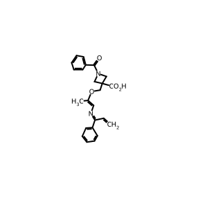 C=C/C(=N\C=C(/C)OCC1(C(=O)O)CN(C(=O)c2ccccc2)C1)c1ccccc1